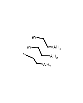 CC(C)C[CH2][AlH2].CC(C)C[CH2][AlH2].CC(C)C[CH2][AlH2]